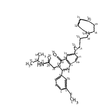 CCc1cccc(-c2nc3ccc(OCCCN4CCCCC4)cc3c(=O)n2CC(=O)NC(C)C)c1